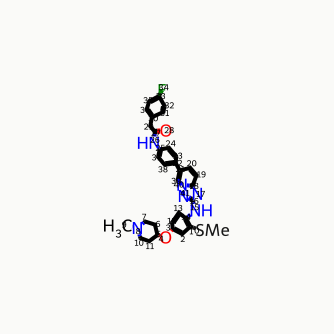 CSc1cc(OC2CCN(C)CC2)ccc1Nc1nc2ccc(-c3ccc(NC(=O)Cc4ccc(F)cc4)cc3)cn2n1